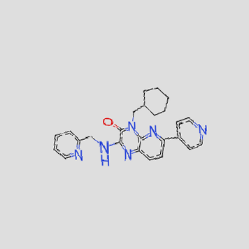 O=c1c(NCc2ccccn2)nc2ccc(-c3ccncc3)nc2n1CC1CCCCC1